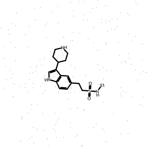 CCNS(=O)(=O)CCc1ccc2[nH]cc(C3CCNCC3)c2c1